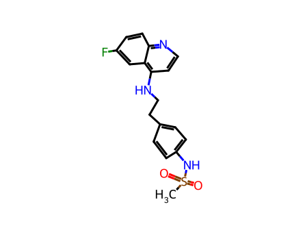 CS(=O)(=O)Nc1ccc(CCNc2ccnc3ccc(F)cc23)cc1